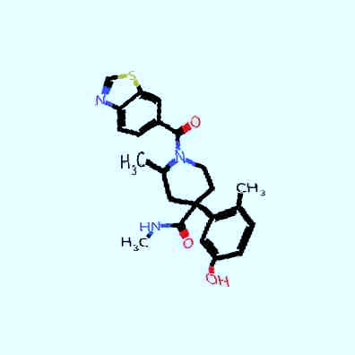 CNC(=O)C1(c2cc(O)ccc2C)CCN(C(=O)c2ccc3ncsc3c2)C(C)C1